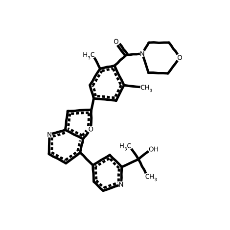 Cc1cc(-c2cc3nccc(-c4ccnc(C(C)(C)O)c4)c3o2)cc(C)c1C(=O)N1CCOCC1